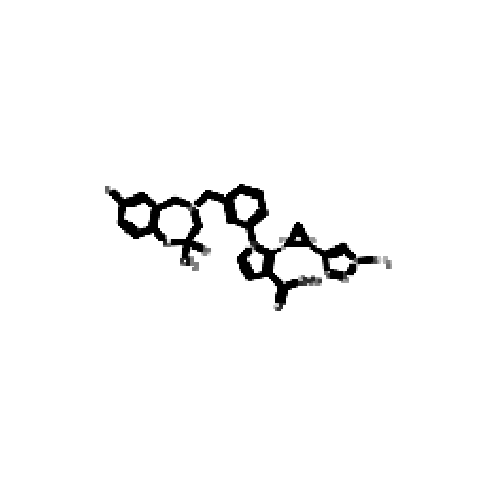 COC(=O)c1ccn(-c2cccc(CN3Cc4cc(F)ccc4OC(C)(Br)C3)c2)c1[C@@H]1C[C@H]1c1cn(C)nn1